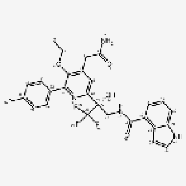 CCOc1c(CC(N)=O)cc([C@@](O)(CNC(=O)c2cccc3[nH]ccc23)C(F)(F)F)nc1-c1ccc(F)cc1